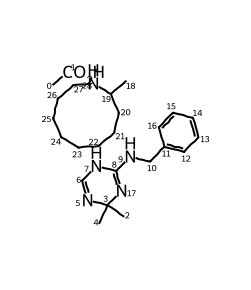 CC(=O)O.CC1(C)N=CNC(NCc2ccccc2)=N1.CC1CCCCCCCCN1